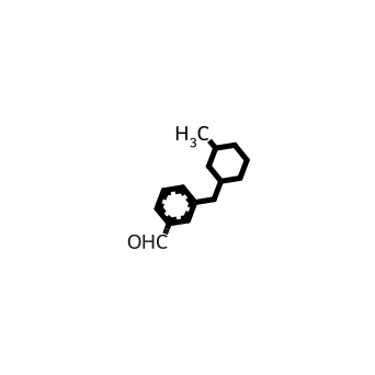 CC1CCCC(Cc2cccc(C=O)c2)C1